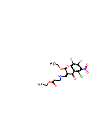 CCOC(=O)CCNC=C(C(=O)OCC)C(=O)c1cc(F)c(Cl)c([N+](=O)[O-])c1Cl